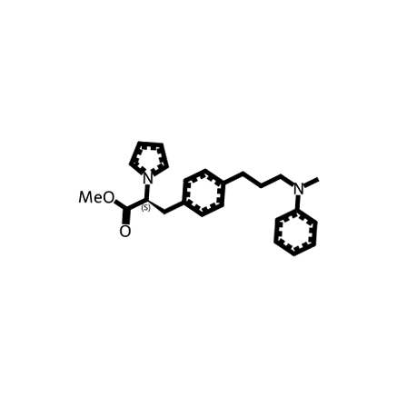 COC(=O)[C@H](Cc1ccc(CCCN(C)c2ccccc2)cc1)n1cccc1